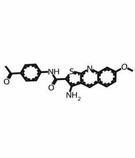 COc1ccc2cc3c(N)c(C(=O)Nc4ccc(C(C)=O)cc4)sc3nc2c1